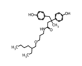 CCCCC(CC)COCCCNC(=O)CC(C)(Cc1ccc(O)cc1)c1ccc(O)cc1